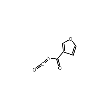 O=C=NC(=O)c1ccoc1